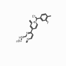 C=C/C=C(\C=C/N(C)C(CC)c1ccc(C)c(F)c1)C(/C=C\N=C)=N/CNCCCC